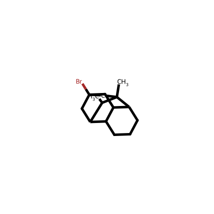 CC1C2CC3(Br)CC4C2CCCC4C1(C)C3